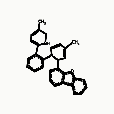 CC1=CC(c2cccc3c2oc2ccccc23)N(c2ccccc2C2=CC=C(C)CN2)C=C1